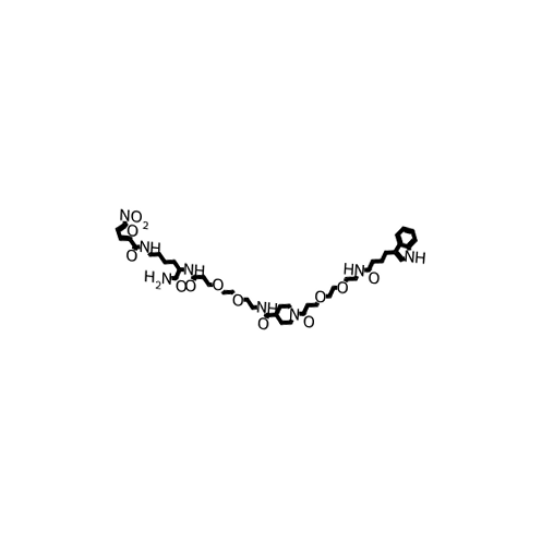 NC(=O)C(CCCCNC(=O)c1ccc([N+](=O)[O-])o1)NC(=O)CCOCCOCCNC(=O)C1CCN(C(=O)CCOCCOCCNC(=O)CCCc2c[nH]c3ccccc23)CC1